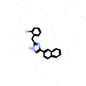 Clc1ccccc1Cc1nc(-c2ccc3ccccc3c2)c[nH]1